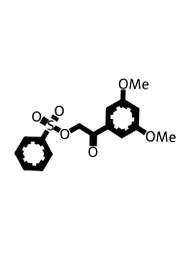 COc1cc(OC)cc(C(=O)COS(=O)(=O)c2ccccc2)c1